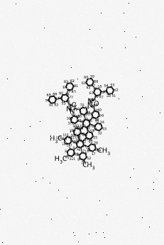 Cc1ccc(-c2c(-c3ccc(C)cc3)c(-c3ccc(C)cc3)c3c4cccc5c6c(-c7ccccc7)c(-c7cccc(-c8nnc(-c9cc(-c%10ccccc%10)cc(-c%10ccccc%10)c9)o8)c7)c(-c7cccc(-c8nnc(-c9cc(-c%10ccccc%10)cc(-c%10ccccc%10)c9)o8)c7)c(-c7ccccc7)c6c6cccc(c3c2-c2ccc(C)cc2)c6c45)cc1